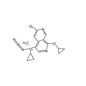 C[C@](N=[N+]=[N-])(c1cnc(OC2CC2)c2cnc(Cl)cc12)C1CC1